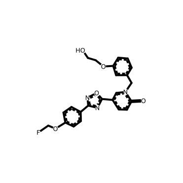 O=c1ccc(-c2nc(-c3ccc(OCF)cc3)no2)cn1Cc1cccc(OCCO)c1